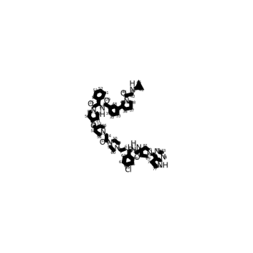 NC1(C(=O)N[C@@H](CCN2CCN(C(=O)CN3CCC(OC4CCN(C(=O)[C@H](NC(=O)c5cccc(C6CCCN(C(=O)CNC7CC7)C6)c5)C5CCCCC5)CC4)CC3)CC2)c2ccc(Cl)cc2)CCN(c2ncnc3[nH]ccc23)CC1